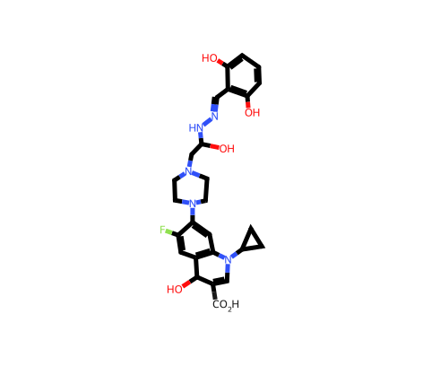 O=C(O)C1=CN(C2CC2)c2cc(N3CCN(CC(O)NN=Cc4c(O)cccc4O)CC3)c(F)cc2C1O